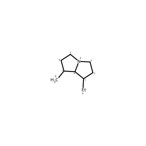 CCC1CCN2CCC(C)C12